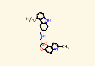 COc1cccc2[nH]c3c(c12)C[C@@H](CNC[C@H]1COc2ccc4nc(C)ccc4c2O1)CC3